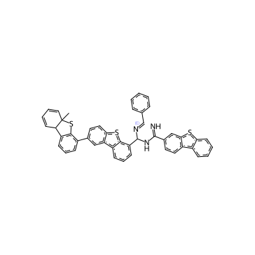 CC12C=CC=CC1c1cccc(-c3ccc4sc5c(C(/N=C/c6ccccc6)NC(=N)c6ccc7c(c6)sc6ccccc67)cccc5c4c3)c1S2